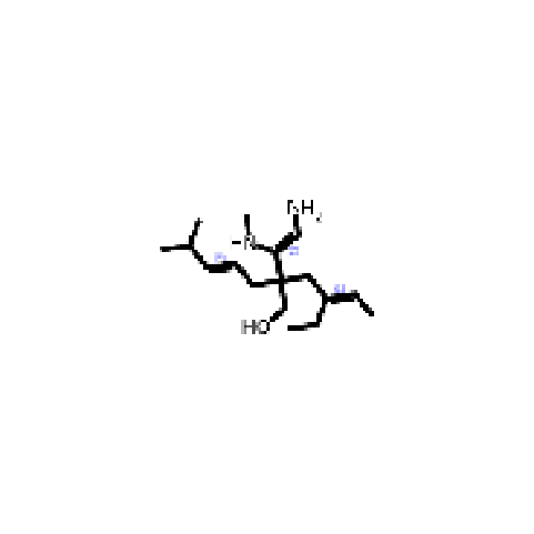 C/C=C(\CC)CC(CO)(C/C=C/C(C)C)/C(=C/N)NC